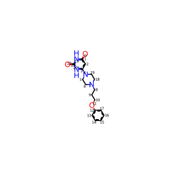 O=c1cc(N2CCN(CCCOc3ccccc3)CC2)[nH]c(=O)[nH]1